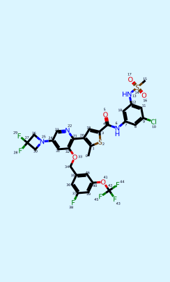 Cc1sc(C(=O)Nc2cc(Cl)cc(NS(C)(=O)=O)c2)cc1-c1ncc(N2CC(F)(F)C2)cc1OCc1cc(F)cc(OC(F)(F)F)c1